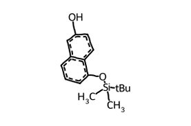 CC(C)(C)[Si](C)(C)Oc1cccc2cc(O)ccc12